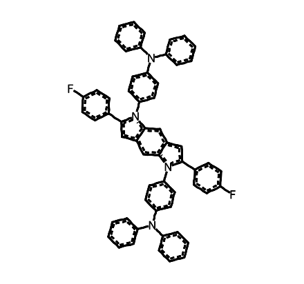 Fc1ccc(-c2cc3cc4c(cc(-c5ccc(F)cc5)n4-c4ccc(N(c5ccccc5)c5ccccc5)cc4)cc3n2-c2ccc(N(c3ccccc3)c3ccccc3)cc2)cc1